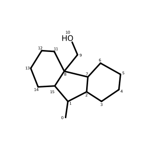 CC1C2CCCCC2C2(CO)CCCCC12